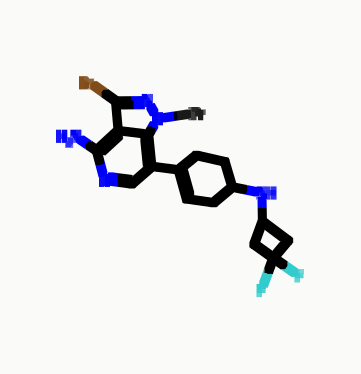 CC(C)n1nc(Br)c2c(N)ncc(C3=CCC(NC4CC(F)(F)C4)CC3)c21